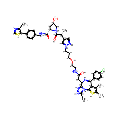 Cc1ncsc1-c1ccc(CNC(=O)[C@@H]2C[C@@H](O)CN2C(=O)[C@@H](c2cnn(CCCOCCNC(=O)CC3N=C(c4ccc(Cl)cc4)c4c(sc(C)c4C)-n4c(C)nnc43)c2)C(C)C)cc1